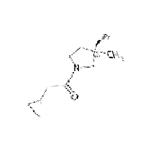 CC(C)[C@]1(C)CCN(C(=O)CC2CC2)C1